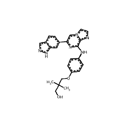 CC(C)(CO)COc1ccc(Nc2nc(-c3ccc4cn[nH]c4c3)cn3ccnc23)cc1